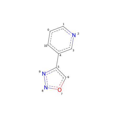 c1cncc(-c2conn2)c1